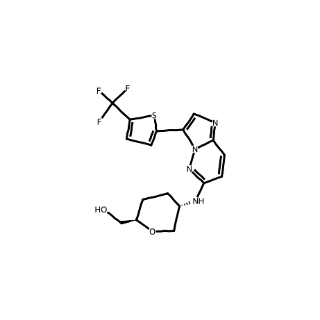 OC[C@H]1CC[C@H](Nc2ccc3ncc(-c4ccc(C(F)(F)F)s4)n3n2)CO1